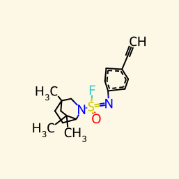 C#Cc1ccc(N=S(=O)(F)N2CC3(C)CCC2C(C)(C)C3)cc1